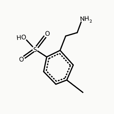 Cc1ccc(S(=O)(=O)O)c(CCN)c1